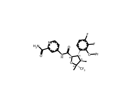 CC(C)Oc1c([C@@H]2[C@@H](C)[C@](C)(C(F)(F)F)O[C@H]2C(=O)Nc2ccnc(C(N)=O)c2)ccc(F)c1F